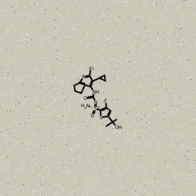 CCc1nc2c(c(NC(=O)N=[S@](N)(=O)c3sc(C(C)(C)O)cc3F)c1C1CC1)CCC2